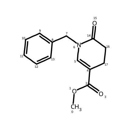 COC(=O)C1=CN(Cc2ccccc2)C(=O)CC1